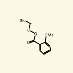 COc1ccccc1C(=O)OO[CH]C(C)(C)C